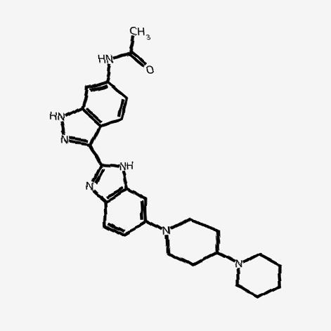 CC(=O)Nc1ccc2c(-c3nc4ccc(N5CCC(N6CCCCC6)CC5)cc4[nH]3)n[nH]c2c1